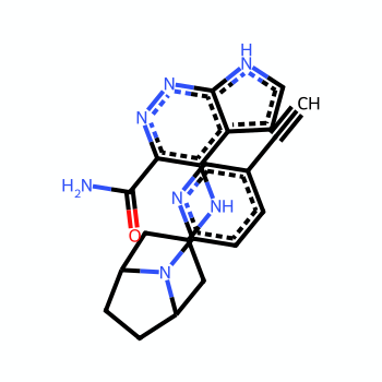 C#Cc1ccc(N2C3CCC2CC(Nc2c(C(N)=O)nnc4[nH]ccc24)C3)nc1